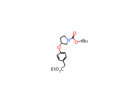 CCOC(=O)Cc1ccc(O[C@H]2CCN(C(=O)OC(C)(C)C)C2)cc1